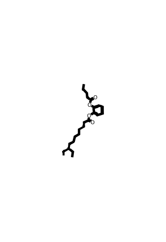 CCCCC(=O)Oc1ccccc1OC(=O)CCCCCCCC(CC)CC